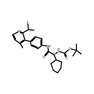 Cc1ccnc(C(F)F)c1-c1ccc(NC(=O)[C@@H](NC(=O)OC(C)(C)C)C2CCCCC2)cc1